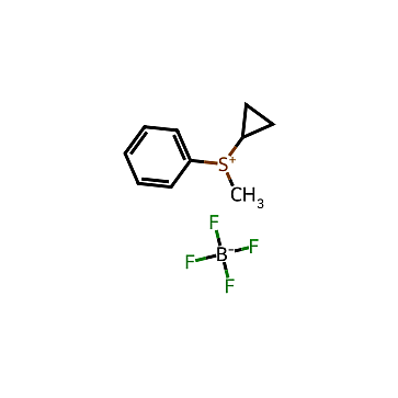 C[S+](c1ccccc1)C1CC1.F[B-](F)(F)F